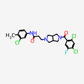 Cc1ccc(NC(=O)CCN2CC3CN(C(=O)c4cc(F)c(Cl)cc4Cl)CC3C2)cc1Cl